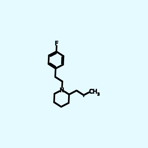 C[CH]CC1CCCCN1CCc1ccc(F)cc1